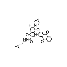 CN(C)CCCCNC(=O)c1cn2c3cc4c(=O)c5ccccc5c(=O)c4cc3oc3c(N4CCN(C)CC4)c(F)cc(c1=O)c32